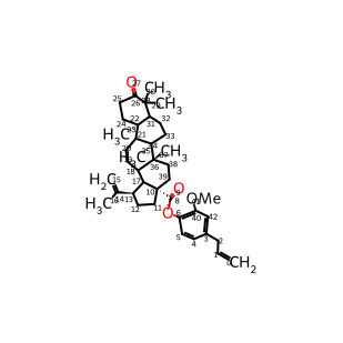 C=CCc1ccc(OC(=O)[C@]23CC[C@@H](C(=C)C)C2C2CCC4[C@@]5(C)CCC(=O)C(C)(C)C5CC[C@@]4(C)[C@]2(C)CC3)c(OC)c1